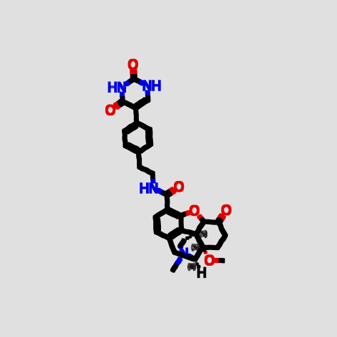 CO[C@@]12CCC(=O)C3Oc4c(C(=O)NCCc5ccc(-c6c[nH]c(=O)[nH]c6=O)cc5)ccc5c4[C@@]31CCN(C)[C@@H]2C5